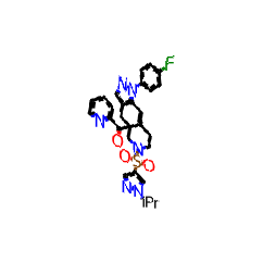 CC(C)n1cc(S(=O)(=O)N2CCC3=Cc4c(cnn4-c4ccc(F)cc4)CC3(C(=O)c3ccccn3)C2)cn1